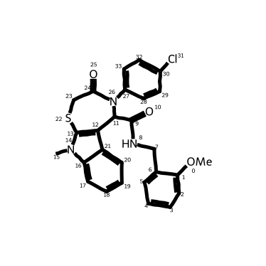 COc1ccccc1CNC(=O)C1c2c(n(C)c3ccccc23)SCC(=O)N1c1ccc(Cl)cc1